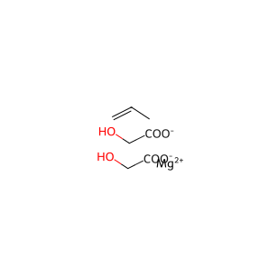 C=CC.O=C([O-])CO.O=C([O-])CO.[Mg+2]